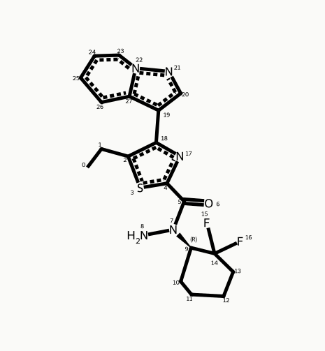 CCc1sc(C(=O)N(N)[C@@H]2CCCCC2(F)F)nc1-c1cnn2ccccc12